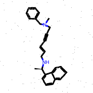 C[C@@H](NC/C=C/C#CCN(C)Cc1ccccc1)c1cccc2ccccc12